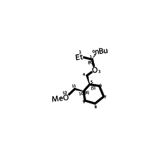 CCCC[C@@H](CC)OC[C@H]1CCCC[C@H]1COC